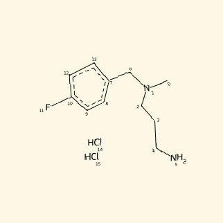 CN(CCCN)Cc1ccc(F)cc1.Cl.Cl